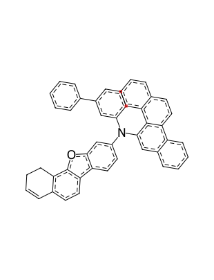 C1=Cc2ccc3c(oc4cc(N(c5cccc(-c6ccccc6)c5)c5cc6ccccc6c6ccc7ccccc7c56)ccc43)c2CC1